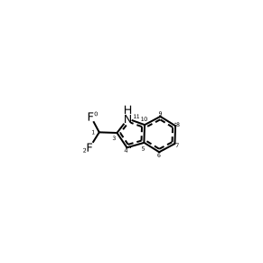 FC(F)c1[c]c2cc[c]cc2[nH]1